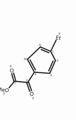 CCc1ccc(C(=O)C(=O)OC)cc1